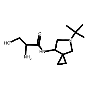 CC(C)(C)N1CC(NC(=O)C(N)CO)C2(CC2)C1